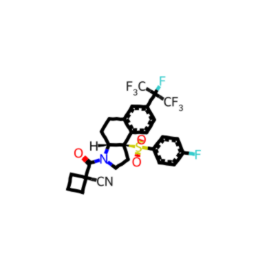 N#CC1(C(=O)N2CC[C@@]3(S(=O)(=O)c4ccc(F)cc4)c4ccc(C(F)(C(F)(F)F)C(F)(F)F)cc4CC[C@@H]23)CCC1